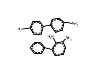 Nc1ccc(-c2ccc(N)cc2)cc1.Nc1cccc(-c2ccccc2)c1N